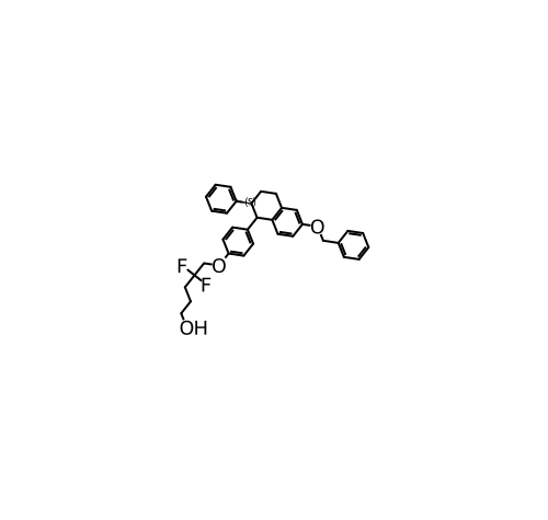 OCCCC(F)(F)COc1ccc(C2c3ccc(OCc4ccccc4)cc3CC[C@@H]2c2ccccc2)cc1